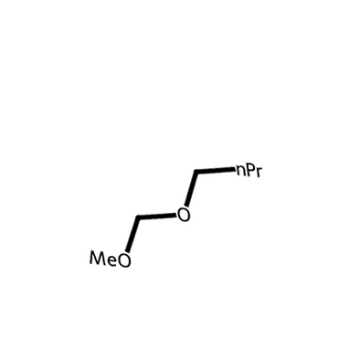 [CH2]OCOCCCC